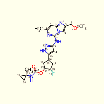 Cc1cc2nc(COC(F)(F)F)cn2c(Nc2cc([C@H]3C[C@@H](F)[C@@H](OC(=O)NC4(C)CC4)C3)[nH]n2)n1